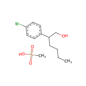 CCCCC(CO)c1ccc(Br)cc1.CS(=O)(=O)O